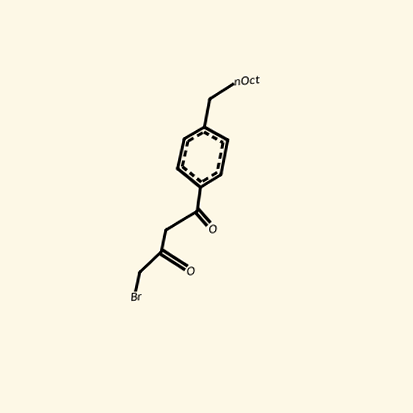 CCCCCCCCCc1ccc(C(=O)CC(=O)CBr)cc1